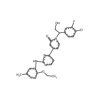 CCOc1cnc(C)cc1Nc1nccc(-c2ccn(C(CO)c3ccc(Cl)c(F)c3)c(=O)c2)n1